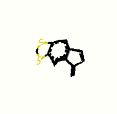 C=C1C=Cc2cc3c(cc21)SCS3